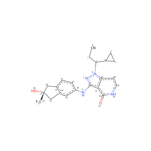 N#CCC(C1CC1)n1nc(Nc2ccc3c(c2)C[C@@](O)(C(F)(F)F)C3)c2c(=O)[nH]ccc21